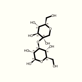 OC[C@H]1OC[C@@](O)(O[C@@H]2[C@@H](O)[C@H](O)O[C@H](CO)[C@H]2O)[C@@H](O)[C@@H]1O